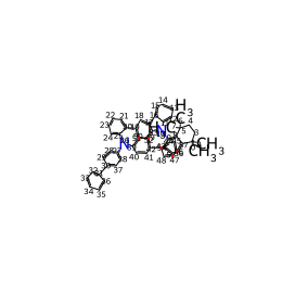 CC1(C)CCC(C)(C)c2c(-n3c4ccccc4c4cc(-c5ccccc5N(c5ccc(-c6ccccc6)cc5)c5ccc(-c6ccccc6)cc5)ccc43)cccc21